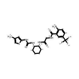 Cc1csc(NC(=O)N[C@H]2CCCC[C@H]2NC(=O)CNC(=O)c2cc(C(F)(F)F)ccc2N)c1